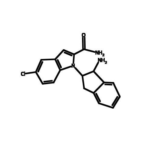 NC(=O)c1cc2cc(Cl)ccc2n1C1Cc2ccccc2C1N